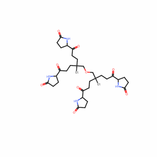 CCC(CCC(=O)C1CCC(=O)N1)(CCC(=O)C1CCC(=O)N1)COCC(CC)(CCC(=O)C1CCC(=O)N1)CCC(=O)C1CCC(=O)N1